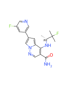 C[C@@H](Nc1c(C(N)=O)cnn2cc(-c3cncc(F)c3)cc12)C(C)(C)F